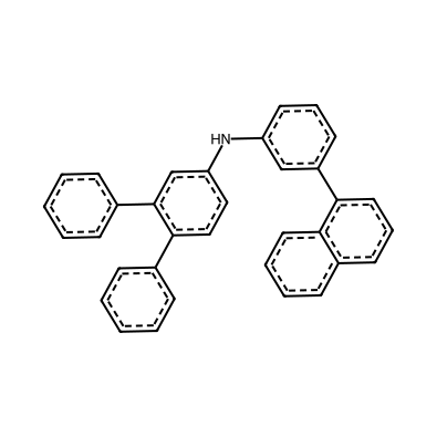 c1ccc(-c2ccc(Nc3cccc(-c4cccc5ccccc45)c3)cc2-c2ccccc2)cc1